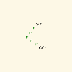 [Ca+2].[F-].[F-].[F-].[F-].[F-].[Sc+3]